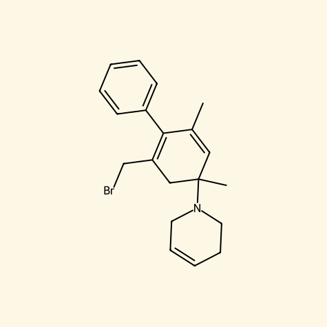 CC1=CC(C)(N2CC=CCC2)CC(CBr)=C1c1ccccc1